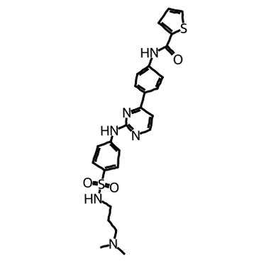 CN(C)CCCNS(=O)(=O)c1ccc(Nc2nccc(-c3ccc(NC(=O)c4cccs4)cc3)n2)cc1